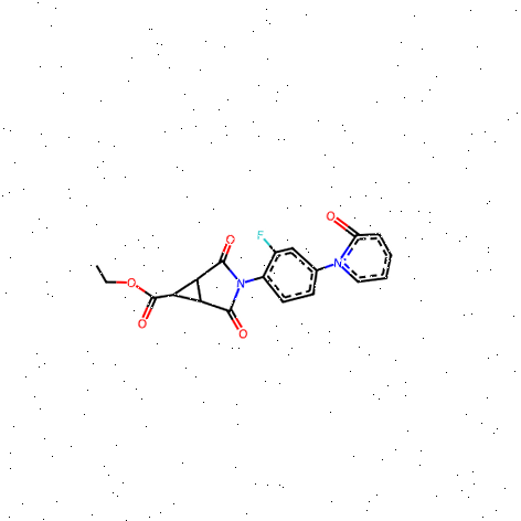 CCOC(=O)C1C2C(=O)N(c3ccc(-n4ccccc4=O)cc3F)C(=O)C12